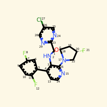 O=C(Nc1c(-c2cc(F)ccc2F)ccnc1N1CC[C@H](F)C1)c1ncc(Cl)cn1